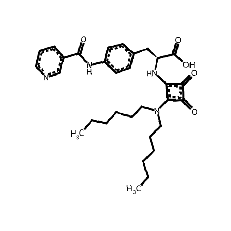 CCCCCCN(CCCCCC)c1c(N[C@@H](Cc2ccc(NC(=O)c3cccnc3)cc2)C(=O)O)c(=O)c1=O